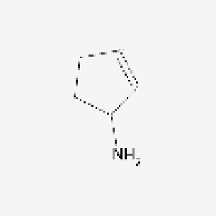 NC1C=[C]CC1